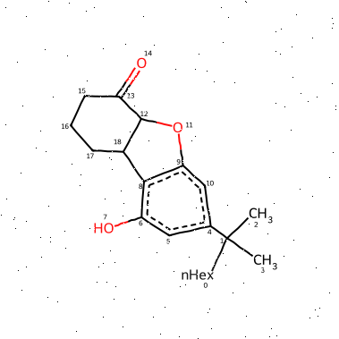 CCCCCCC(C)(C)c1cc(O)c2c(c1)OC1C(=O)CCCC21